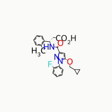 Cc1ccccc1[C@H](CC(=O)O)NC(=O)c1cc(OCC2CC2)n(-c2ccccc2F)n1